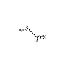 C[Si](C)(C)O[C@H]1C=C(CCCCCCC(=O)O[SiH3])C(=O)C1